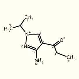 CCC(=O)c1cn(C(C)C)nc1N